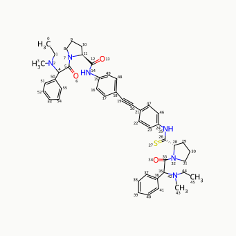 CCN(C)C(C(=O)N1CCC[C@H]1C(=O)Nc1ccc(C#Cc2ccc(NC(=S)[C@@H]3CCCN3C(=O)C(c3ccccc3)N(C)CC)cc2)cc1)c1ccccc1